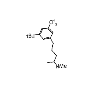 CN[C@@H](C)CCCc1cc(C(C)(C)C)cc(C(F)(F)F)c1